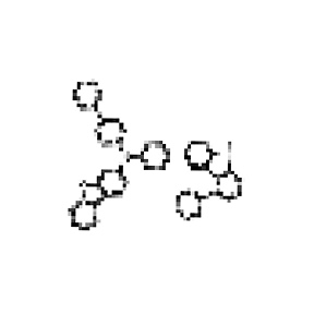 CC1(C)c2ccc(-c3ccc(N(c4ccc(-c5ccccc5)cc4)c4ccc5c(c4)sc4ccccc45)cc3)cc2-c2c(-c3ccccc3)cccc21